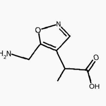 CC(C(=O)O)c1cnoc1CN